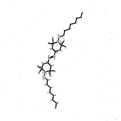 CCCCCCCCON1C(C)(C)CC(N=NC2CC(C)(C)N(OCCCCCCCC)C(C)(C)C2)CC1(C)C